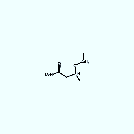 CNC(=O)C[SiH](C)O[SiH2]C